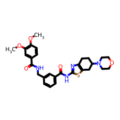 COc1ccc(C(=O)NCc2cccc(C(=O)Nc3nc4c(s3)CC(N3CCOCC3)CC4)c2)cc1OC